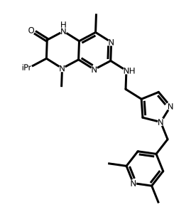 Cc1cc(Cn2cc(CNc3nc(C)c4c(n3)N(C)C(C(C)C)C(=O)N4)cn2)cc(C)n1